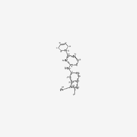 Cc1nc2cnc(Nc3ccnc(N4CC=CCC4)n3)cc2n1C(C)C